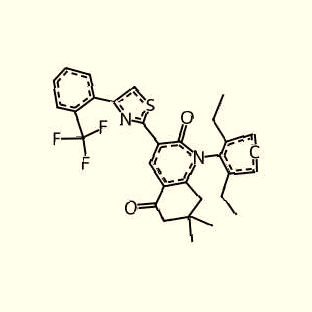 CCc1cccc(CC)c1-n1c2c(cc(-c3nc(-c4ccccc4C(F)(F)F)cs3)c1=O)C(=O)CC(C)(C)C2